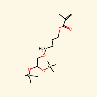 C=C(C)C(=O)OCCC[SiH2]OCC(O[Si](C)(C)C)O[Si](C)(C)C